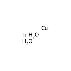 O.O.[Cu].[Ti]